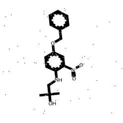 CC(C)(O)CNc1ccc(OCc2ccccc2)cc1[N+](=O)[O-]